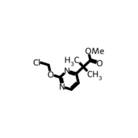 COC(=O)C(C)(C)c1ccnc(OCCl)n1